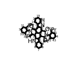 C=c1c2c3[nH]c4ccccc4c3c3c4c(c5[nH]c6ccccc6c5c(c(=O)n1-c1c(C(C)C)cccc1C(C)C)c42)C(=O)N(c1c(C(C)C)cccc1C(C)C)C3=O